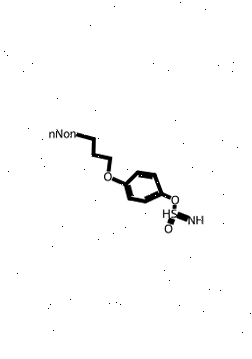 CCCCCCCCCCCCOc1ccc(O[SH](=N)=O)cc1